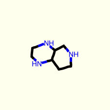 C1CC2NCCNC2CN1